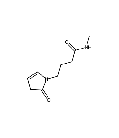 CNC(=O)CCCN1C=CCC1=O